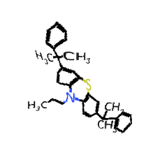 CCCN1c2ccc(C(C)(C)c3ccccc3)cc2Sc2cc(C(C)(C)c3ccccc3)ccc21